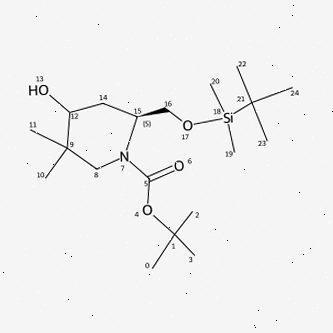 CC(C)(C)OC(=O)N1CC(C)(C)C(O)C[C@H]1CO[Si](C)(C)C(C)(C)C